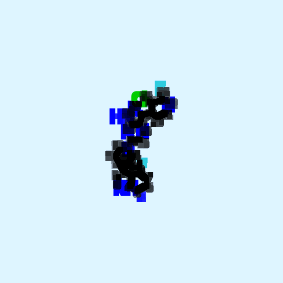 NC[C@]1(c2ccccc2F)[C@@H]2CCN(c3cnc4c(-c5ccnc(F)c5Cl)n[nH]c4n3)C[C@@H]21